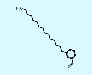 CCCCCCCCCCCCCCCc1cccc(C=O)c1